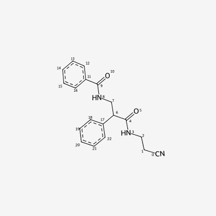 N#CCCNC(=O)C(CNC(=O)c1ccccc1)c1ccccc1